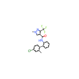 Cc1cc(Cl)ccc1-c1ccccc1NC(=O)c1cn(C)nc1C(F)(F)F